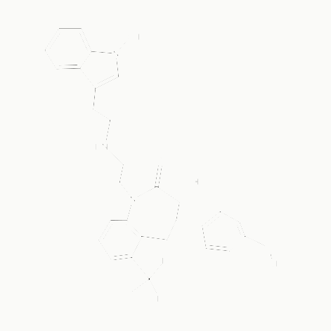 COc1ccc([C@@H]2Cc3c(cccc3C(F)(F)F)N(CCNCCc3cn(C)c4ccccc34)C(=O)[C@@H]2O)cc1